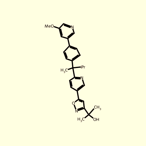 COc1cncc(-c2ccc(C(C)(c3ccc(-c4cc(C(C)(C)O)no4)cn3)C(C)C)cc2)c1